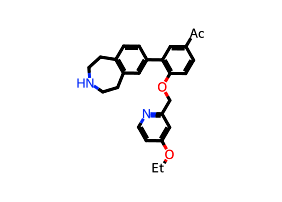 CCOc1ccnc(COc2ccc(C(C)=O)cc2-c2ccc3c(c2)CCNCC3)c1